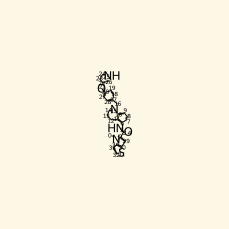 Cn1c(C(=O)Nc2cccc3c2CCCN3Cc2ccc(OC3CCNC3)cc2)cc2sccc21